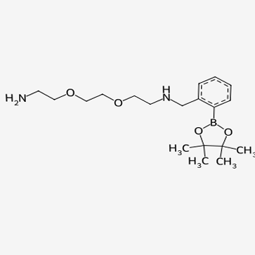 CC1(C)OB(c2ccccc2CNCCOCCOCCN)OC1(C)C